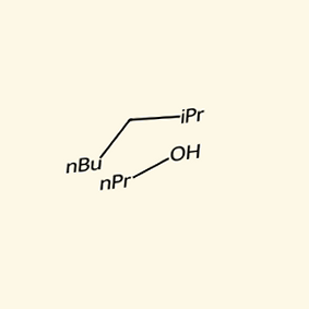 CCCCCC(C)C.CCCO